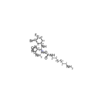 NCCSSCCNC(=O)O/N=C(\Nc1ccc(F)c(Br)c1)c1nonc1N